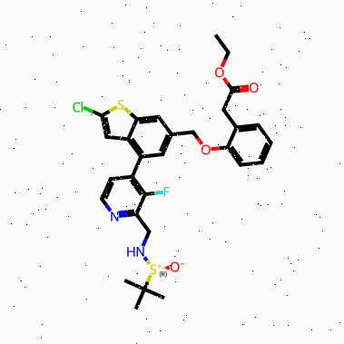 CCOC(=O)Cc1ccccc1OCc1cc(-c2ccnc(CN[S@@+]([O-])C(C)(C)C)c2F)c2cc(Cl)sc2c1